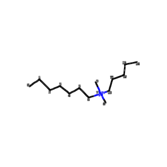 CCCCCCC[N+](C)(C)CCCCC